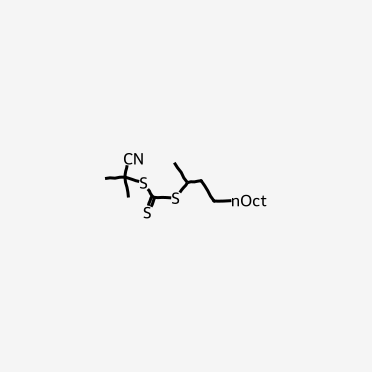 CCCCCCCCCCC(C)SC(=S)SC(C)(C)C#N